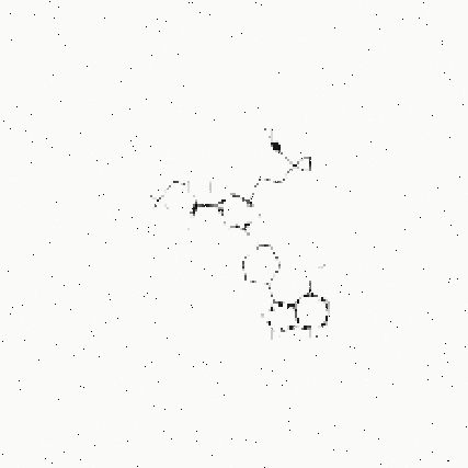 COc1ccnc2[nH]nc(C3CCN(c4nc(CCC5(C#N)CC5)nc(C(=O)N[C@@H](C)C(F)(F)F)n4)CC3)c12